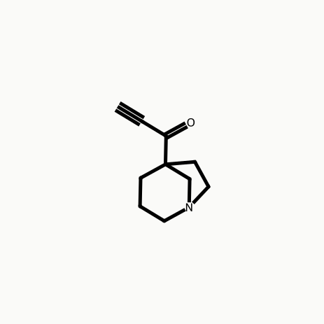 C#CC(=O)C12CCCN(CC1)C2